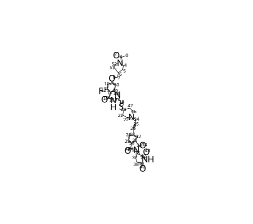 CC(=O)N1CCC(COc2cc(F)c3c(=O)[nH]c(CSC4CCN(CC#Cc5ccc6c(c5)C(=O)N(C5CCC(=O)NC5=O)C6=O)CC4)nc3c2)CC1